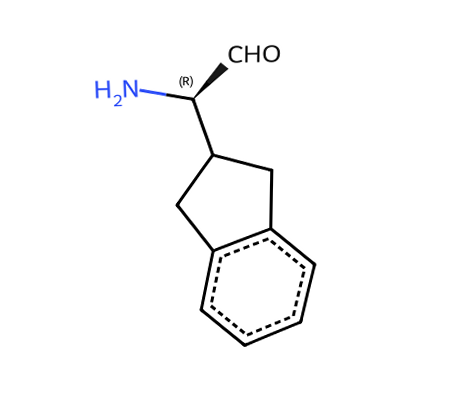 N[C@@H](C=O)C1Cc2ccccc2C1